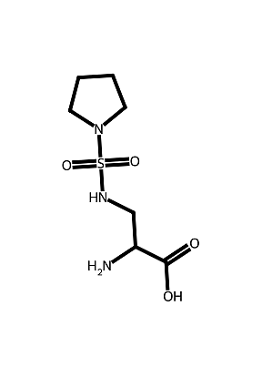 NC(CNS(=O)(=O)N1CCCC1)C(=O)O